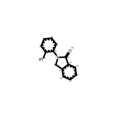 CC(C)c1ccccc1N1Cc2ccccc2C1=O